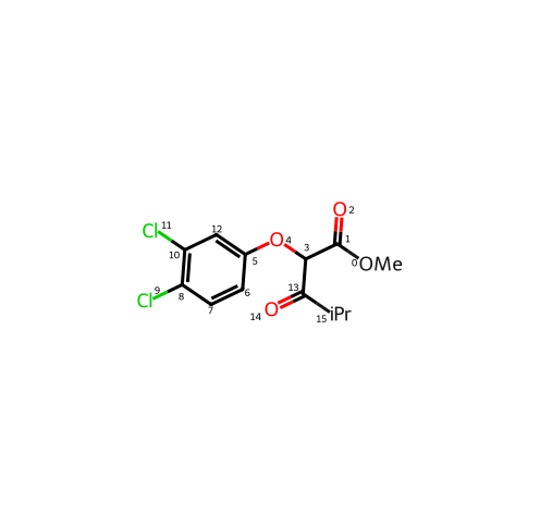 COC(=O)C(Oc1ccc(Cl)c(Cl)c1)C(=O)C(C)C